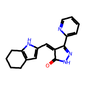 O=C1NN=C(c2ccccn2)C1=Cc1cc2c([nH]1)CCCC2